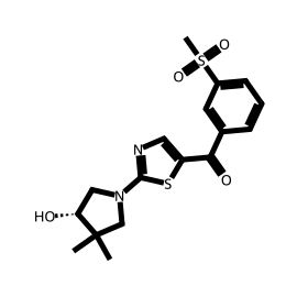 CC1(C)CN(c2ncc(C(=O)c3cccc(S(C)(=O)=O)c3)s2)C[C@H]1O